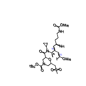 COC(=O)NCCCC(=N)/C=C(\C=C(/I)OC)[C@@H](C)N(C(=O)C1CN(C(=O)OC(C)(C)C)CC(CS(C)(=O)=O)O1)C1CC1